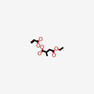 C=CC(=O)OOC(=O)C(C)CC(=O)OCC